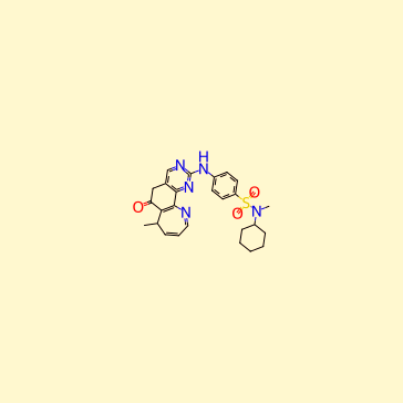 CC1C=CC=NC2=C1C(=O)Cc1cnc(Nc3ccc(S(=O)(=O)N(C)C4CCCCC4)cc3)nc12